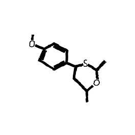 COc1ccc(C2CC(C)OC(C)S2)cc1